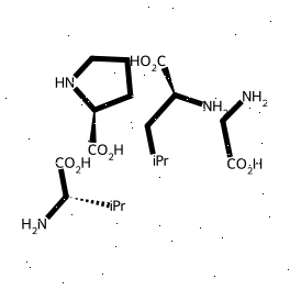 CC(C)C[C@H](N)C(=O)O.CC(C)[C@H](N)C(=O)O.NCC(=O)O.O=C(O)[C@@H]1CCCN1